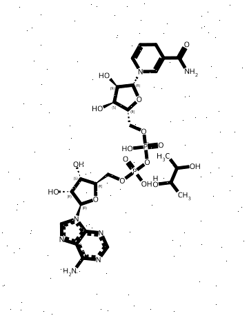 CC(O)C(C)O.NC(=O)C1=CN([C@@H]2O[C@H](COP(=O)(O)OP(=O)(O)OC[C@H]3O[C@@H](n4cnc5c(N)ncnc54)[C@H](O)[C@@H]3O)[C@@H](O)[C@H]2O)C=CC1